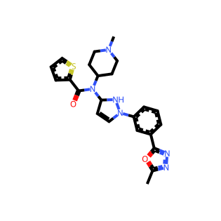 Cc1nnc(-c2cccc(N3C=CC(N(C(=O)c4cccs4)C4CCN(C)CC4)N3)c2)o1